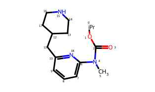 CC(C)OC(=O)N(C)c1cccc(CC2CCNCC2)n1